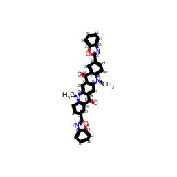 Cn1c2ccc(-c3nc4ccccc4o3)cc2c(=O)c2cc3c(cc21)c(=O)c1cc(-c2nc4ccccc4o2)ccc1n3C